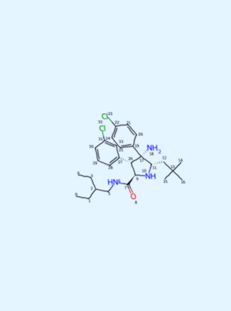 CCC(CC)CNC(=O)[C@@H]1N[C@@H](CC(C)(C)C)[C@](N)(c2ccc(Cl)cc2)[C@H]1c1cccc(Cl)c1